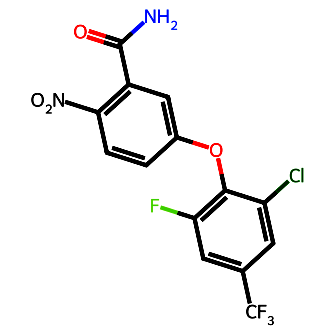 NC(=O)c1cc(Oc2c(F)cc(C(F)(F)F)cc2Cl)ccc1[N+](=O)[O-]